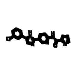 O=C(Nc1ccc(-c2ncc(-c3cccc(Cl)c3)[nH]2)cn1)c1cscn1